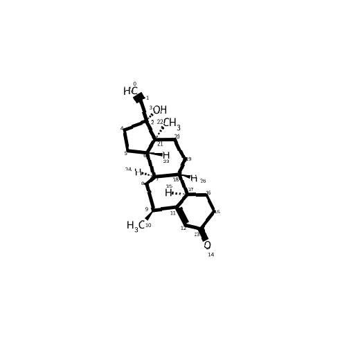 C#C[C@]1(O)CC[C@H]2[C@@H]3C[C@H](C)C4=CC(=O)CC[C@@H]4[C@H]3CC[C@@]21C